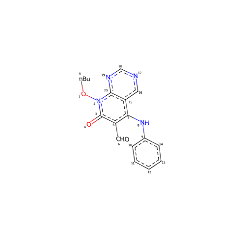 CCCCOn1c(=O)c(C=O)c(Nc2ccccc2)c2cncnc21